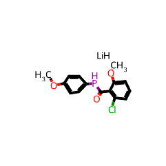 COc1ccc(PC(=O)c2c(Cl)cccc2OC)cc1.[LiH]